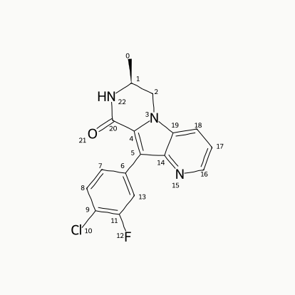 C[C@H]1Cn2c(c(-c3ccc(Cl)c(F)c3)c3ncccc32)C(=O)N1